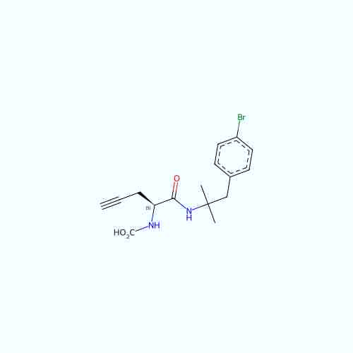 C#CC[C@H](NC(=O)O)C(=O)NC(C)(C)Cc1ccc(Br)cc1